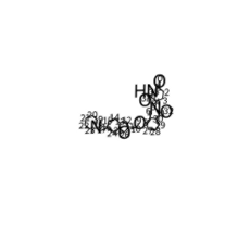 O=C1CCC(N2Cc3c(OCc4cc5ccc(CN6CCCCC6)cc5o4)cccc3C2=O)C(=O)N1